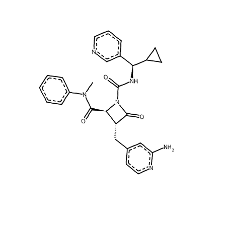 CN(C(=O)[C@@H]1[C@@H](Cc2ccnc(N)c2)C(=O)N1C(=O)N[C@@H](c1cccnc1)C1CC1)c1ccccc1